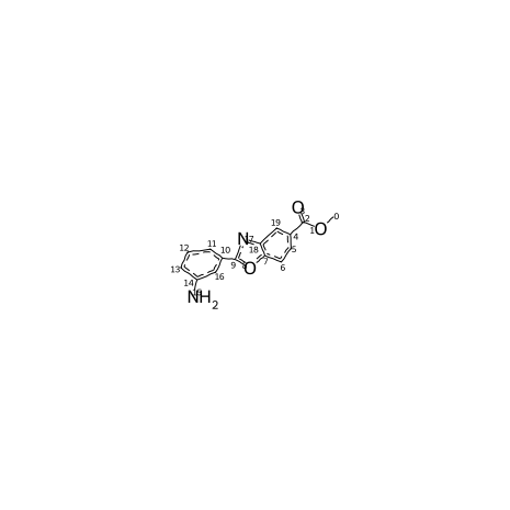 COC(=O)c1ccc2oc(-c3cccc(N)c3)nc2c1